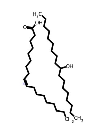 CCCCCCCC/C=C\CCCCCCCC(=O)O.CCCCCCCCCC(O)CCCCCCCC